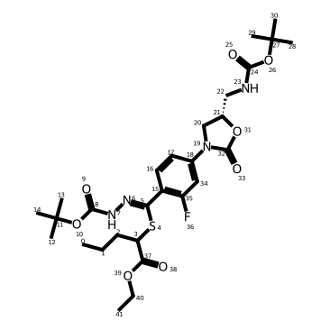 CCCC(SC(=NNC(=O)OC(C)(C)C)c1ccc(N2C[C@H](CNC(=O)OC(C)(C)C)OC2=O)cc1F)C(=O)OCC